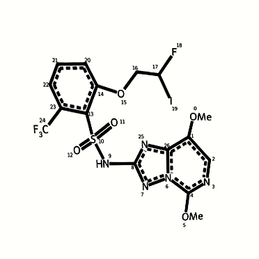 COc1cnc(OC)n2nc(NS(=O)(=O)c3c(OCC(F)I)cccc3C(F)(F)F)nc12